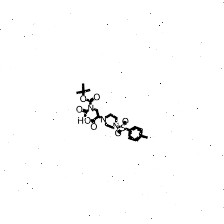 CC(=O)N(CC(C(=O)O)N1CCN(S(=O)(=O)c2ccc(C)cc2)CC1)C(=O)OC(C)(C)C